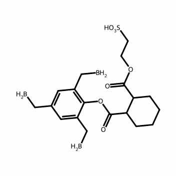 BCc1cc(CB)c(OC(=O)C2CCCCC2C(=O)OCCS(=O)(=O)O)c(CB)c1